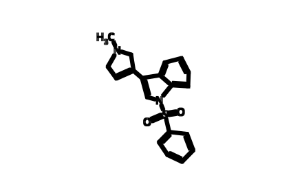 CN1CC=C(c2cn(S(=O)(=O)c3ccccc3)c3ccccc23)C1